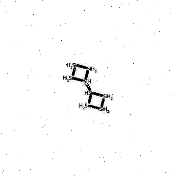 [SiH2]1[SiH2][SiH]([SiH]2[SiH2][SiH2][SiH2]2)[SiH2]1